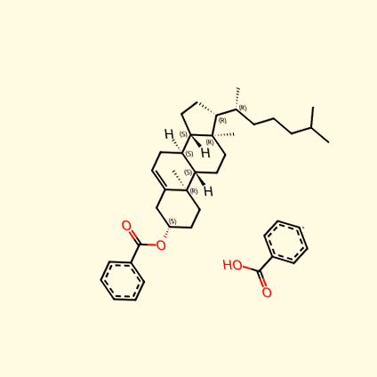 CC(C)CCC[C@@H](C)[C@H]1CC[C@H]2[C@@H]3CC=C4C[C@@H](OC(=O)c5ccccc5)CC[C@]4(C)[C@H]3CC[C@]12C.O=C(O)c1cc[c]cc1